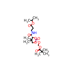 CC(C)OC(=O)CCNC(=O)[C@@H]1O[P@](=O)(OCOC(=O)C(C)(C)C)OCC1(C)C